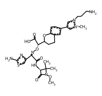 CON1C(=O)[C@@H](NC(=O)/C(=N\O[C@H](C(=O)O)C2CCc3cc(-c4cn(CCCN)[n+](C)c4)ccc3O2)c2csc(N)n2)C1(C)C